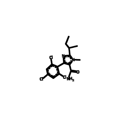 CCC(C)c1nc(-c2c(Cl)cc(Cl)cc2Cl)c(C(N)=O)n1C